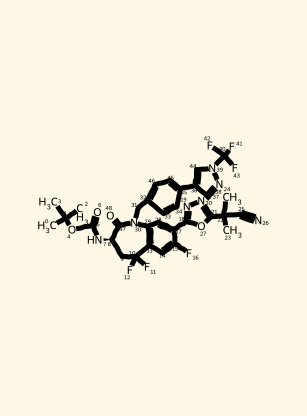 CC(C)(C)OC(=O)N[C@H]1CC(F)(F)c2cc(F)c(-c3nnc(C(C)(C)C#N)o3)cc2N(Cc2ccc(-c3cnn(C(F)(F)F)c3)cc2)C1=O